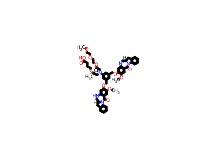 COCCOCCOCCN(CC(C)(C)SCCCC(=O)O)c1cc(COc2cc3c(cc2OC)C(=O)N2c4ccccc4C[C@H]2C=N3)cc(COc2cc3c(cc2OC)C(=O)N2c4ccccc4C[C@H]2CN3)c1